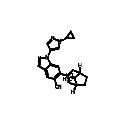 CC1(O)[C@@H]2CC[C@H]1CN(c1cc3c(cnn3-c3cnn(C4CC4)c3)cc1C#N)C2